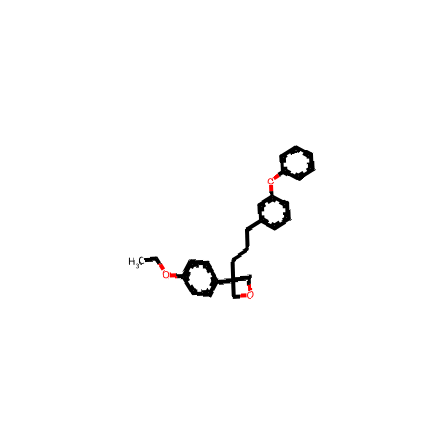 CCOc1ccc(C2(CCCc3cccc(Oc4ccccc4)c3)COC2)cc1